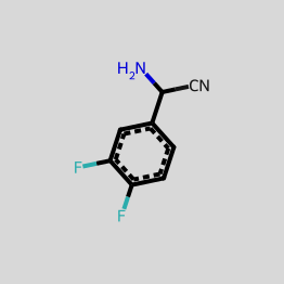 N#CC(N)c1ccc(F)c(F)c1